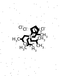 CC(C)[CH2][Ti+3]([CH2]C(C)C)([CH2]C(C)C)([CH2]C(C)C)[C]1=CC=CC1.[Cl-].[Cl-].[Cl-]